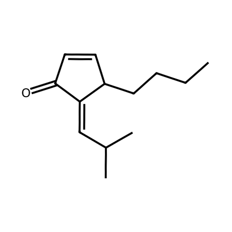 CCCCC1C=CC(=O)/C1=C/C(C)C